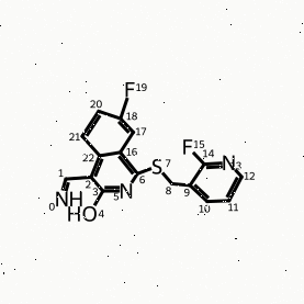 N=Cc1c(O)nc(SCc2cccnc2F)c2cc(F)ccc12